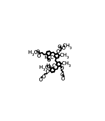 COC(=O)CCc1ccc(Cc2c(C)c(Cc3cc(C)c(OCCOC=O)c(Cc4ccc(OCCOC=O)c(OC)c4)c3C)cc(C)c2OCC(=O)OC)cc1C=O